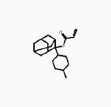 C=CC(=O)OC1(C2CCC(C)CC2)C2CC3CC(C2)CC1C3